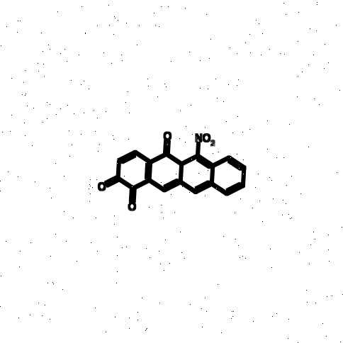 O=C1C=CC2=C(C=C3C=c4ccccc4=C([N+](=O)[O-])C3C2=O)C1=O